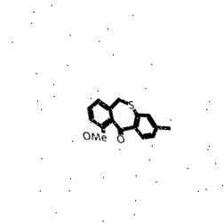 COc1cccc2c1C(=O)c1ccc(C)cc1SC2